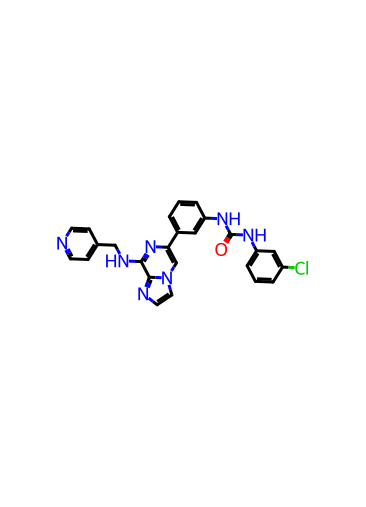 O=C(Nc1cccc(Cl)c1)Nc1cccc(-c2cn3ccnc3c(NCc3ccncc3)n2)c1